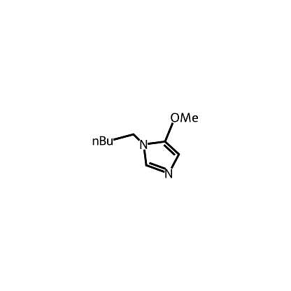 CCCCCn1cncc1OC